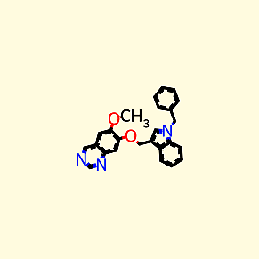 COc1cc2cncnc2cc1OCc1cn(Cc2ccccc2)c2ccccc12